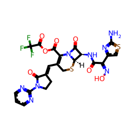 Nc1nc(/C(=N/O)C(=O)N[C@@H]2C(=O)N3C(C(=O)OC(=O)C(F)(F)F)=C(C=C4CCN(c5ncccn5)C4=O)CS[C@H]23)cs1